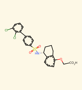 O=C(O)COc1cccc2c1CCC[C@H]2NS(=O)(=O)c1ccc(-c2cccc(Cl)c2Cl)cc1